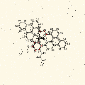 CCCCc1ccccc1-c1ccc(-c2ccccc2)c(-c2ccccc2CCCC)c1OPOc1c(-c2ccccc2CCCC)ccc(-c2ccccc2)c1-c1ccccc1CCCC